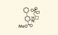 COC(=O)c1ccc(-c2ccccc2)cc1NC1CCC1CS(=O)(=O)Cl